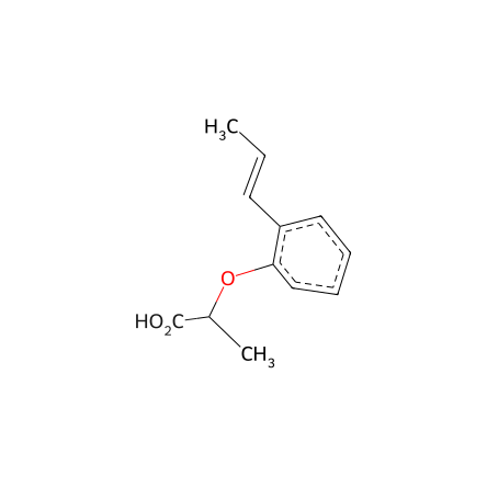 CC=Cc1ccccc1OC(C)C(=O)O